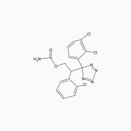 NC(=O)OCC(c1ccccc1Cl)C1(c2cccc(Cl)c2Cl)N=NN=N1